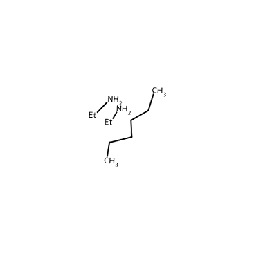 CCCCCC.CCN.CCN